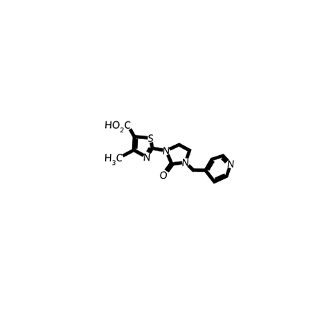 Cc1nc(N2CCN(Cc3ccncc3)C2=O)sc1C(=O)O